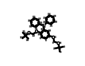 CC(C)(C)OCOc1ccc(OCOC(C)(C)C)c([S+](c2ccccc2)c2ccccc2)c1